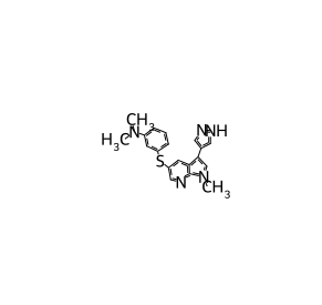 CN(C)c1cccc(Sc2cnc3c(c2)c(-c2cn[nH]c2)cn3C)c1